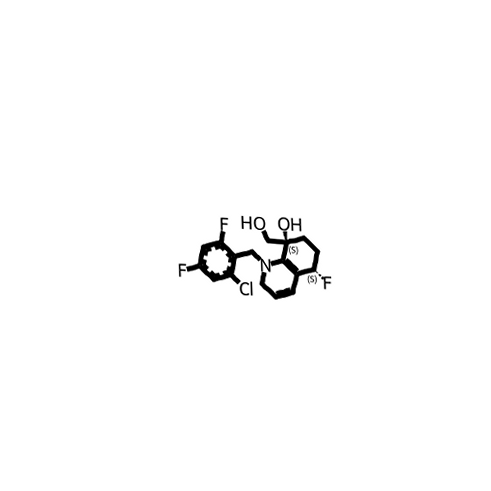 OC[C@]1(O)CC[C@H](F)C2=C1N(Cc1c(F)cc(F)cc1Cl)CC=C2